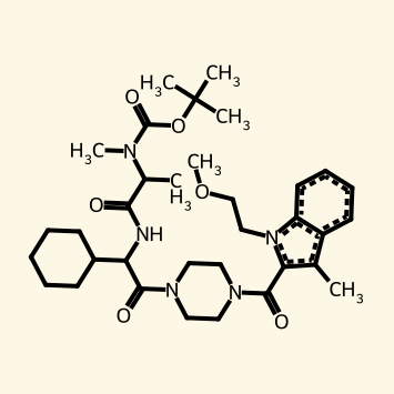 COCCn1c(C(=O)N2CCN(C(=O)C(NC(=O)C(C)N(C)C(=O)OC(C)(C)C)C3CCCCC3)CC2)c(C)c2ccccc21